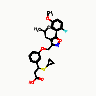 COc1ccc(F)c(-c2onc(COc3cccc(C(CC(=O)O)SC4CC4)c3)c2CC(C)C)c1